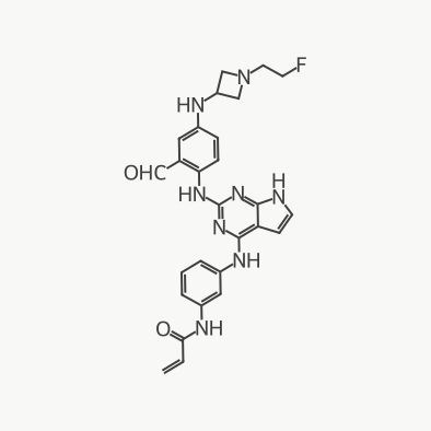 C=CC(=O)Nc1cccc(Nc2nc(Nc3ccc(NC4CN(CCF)C4)cc3C=O)nc3[nH]ccc23)c1